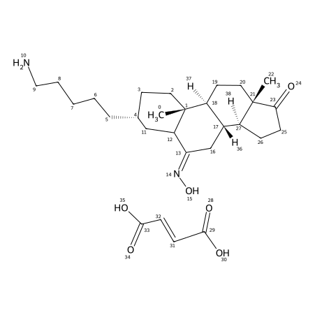 C[C@]12CC[C@@H](CCCCCN)CC1/C(=N/O)C[C@@H]1[C@@H]2CC[C@]2(C)C(=O)CC[C@@H]12.O=C(O)/C=C/C(=O)O